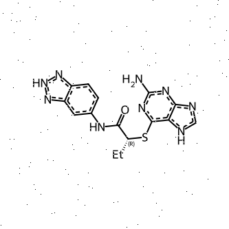 CC[C@@H](Sc1nc(N)nc2nc[nH]c12)C(=O)Nc1ccc2n[nH]nc2c1